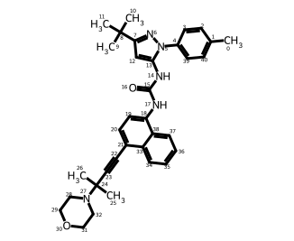 Cc1ccc(-n2nc(C(C)(C)C)cc2NC(=O)Nc2ccc(C#CC(C)(C)N3CCOCC3)c3ccccc23)cc1